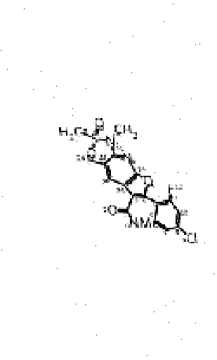 CNC(=O)c1c(-c2ccc(Cl)cc2F)oc2nc(N(C)S(C)(=O)=O)c(I)cc12